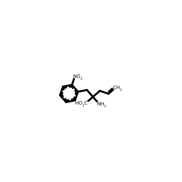 C=CCC(N)(Cc1ccccc1[N+](=O)[O-])C(=O)O